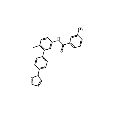 Cc1ccc(NC(=O)c2cccc(C(F)(F)F)c2)cc1-c1ccc(-n2cccn2)cc1